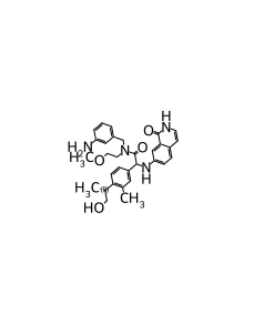 COCCN(Cc1cccc(N)c1)C(=O)C(Nc1ccc2cc[nH]c(=O)c2c1)c1ccc([C@@H](C)CO)c(C)c1